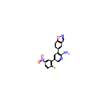 Nc1ncc(-c2cc([N+](=O)[O-])ccc2F)cc1-c1ccc2oncc2c1